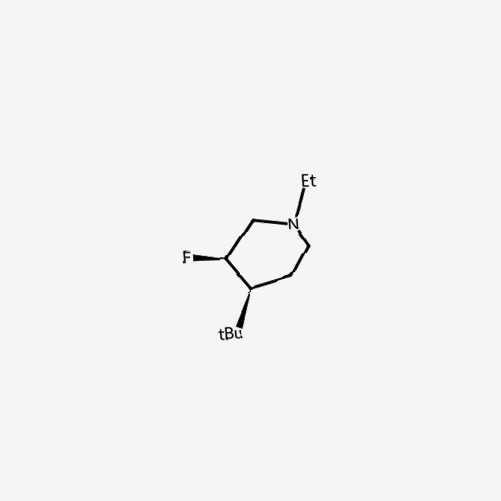 CCN1CC[C@@H](C(C)(C)C)[C@@H](F)C1